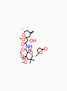 C=C1C[C@](OC)([C@H](O)C(=O)N[C@H]2OCO[C@H]3[C@@H]2O[C@H](C[C@H]2CCC(=O)O2)C(C)(C)[C@@H]3OC)O[C@H](C)[C@@H]1C